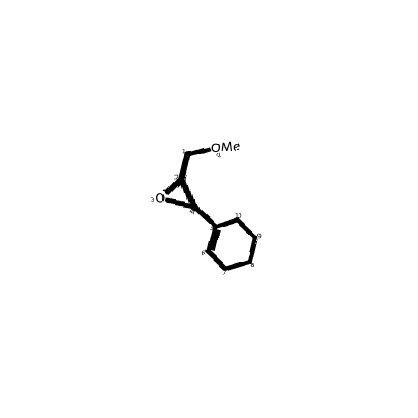 COCC1OC1C1=CCCCC1